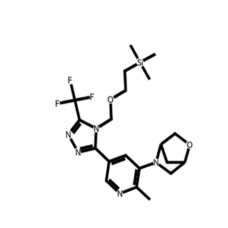 Cc1ncc(-c2nnc(C(F)(F)F)n2COCC[Si](C)(C)C)cc1N1CC2CC1CO2